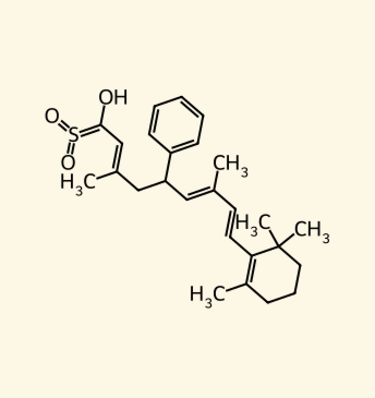 CC(C=CC1=C(C)CCCC1(C)C)=CC(CC(C)=CC(O)=S(=O)=O)c1ccccc1